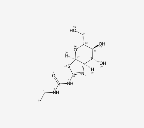 CCNC(=O)NC1=N[C@@H]2[C@@H](O)[C@H](O)[C@@H](CO)O[C@@H]2S1